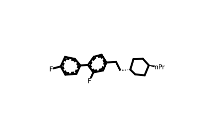 CCC[C@H]1CC[C@H](CCc2ccc(-c3ccc(F)cc3)c(F)c2)CC1